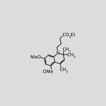 CCOC(=O)CCCN1c2cc(OC)cc(OC)c2C(C)=CC1(C)C